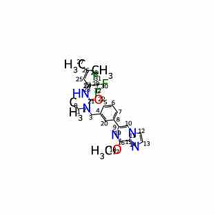 CCN(Cc1cccc(-c2cn3ccnc3c(OC)n2)c1)C(=O)N[C@@H](C=C(C)C)C(F)(F)F